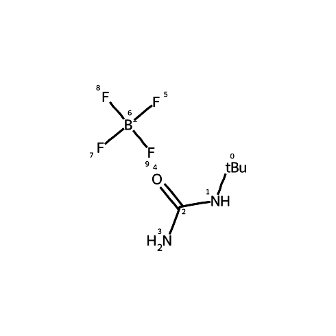 CC(C)(C)NC(N)=O.F[B-](F)(F)F